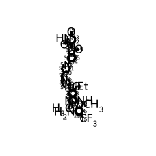 CCOc1cc2c(NC(C)c3cc(N)cc(C(F)(F)F)c3)nc(C)nc2cc1N1CCN(CC2CCN(c3ccc4c(c3)CN(C3CCC(=O)NC3=O)C4=O)CC2)CC1